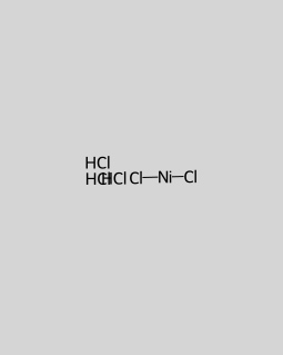 Cl.Cl.Cl.[Cl][Ni][Cl]